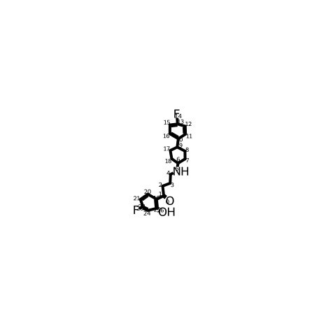 O=C(CCCNC1CCC(c2ccc(F)cc2)CC1)c1ccc(F)cc1O